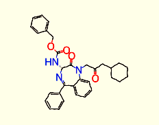 O=C(CC1CCCCC1)CN1C(=O)[C@@H](NC(=O)OCc2ccccc2)N=C(c2ccccc2)c2ccccc21